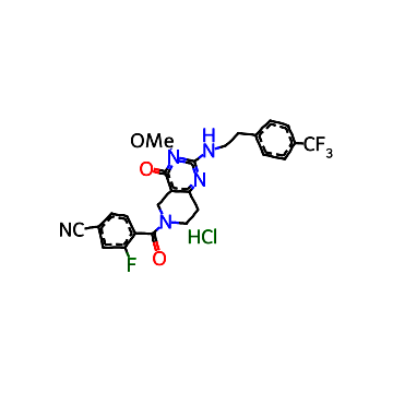 COn1c(NCCc2ccc(C(F)(F)F)cc2)nc2c(c1=O)CN(C(=O)c1ccc(C#N)cc1F)CC2.Cl